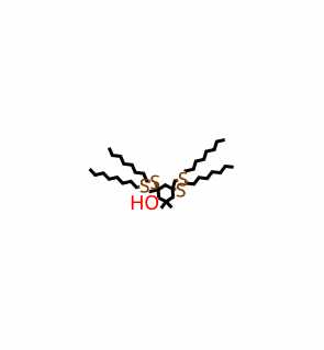 CCCCCCCCSCC1(SCCCCCCCC)CC(C)(C)C(O)C(CSCCCCCCCC)(SCCCCCCCC)C1